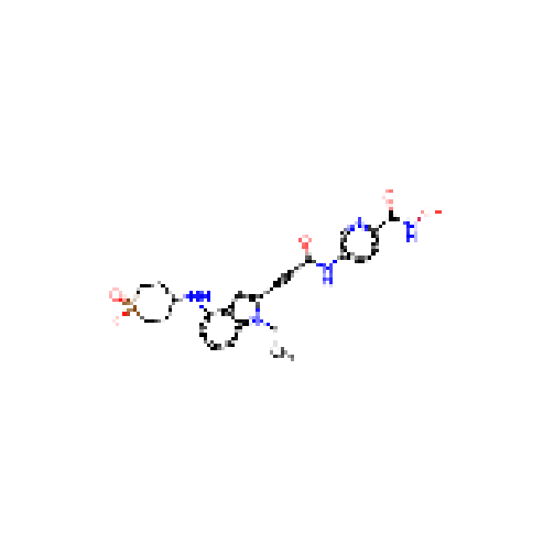 O=C(C#Cc1cc2c(NC3CCS(=O)(=O)CC3)cccc2n1CC(F)(F)F)Nc1ccc(C(=O)NO)nc1